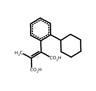 C/C(C(=O)O)=C(/C(=O)O)c1ccccc1C1CCCCC1